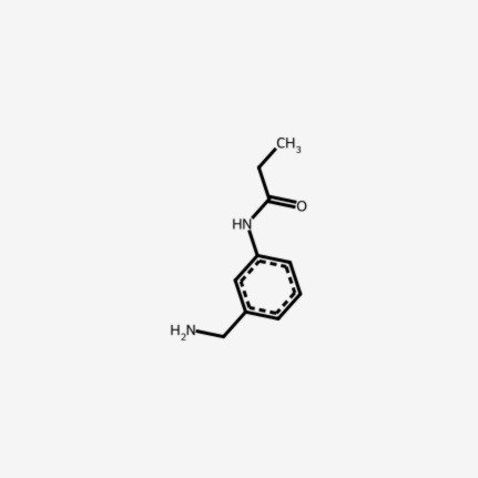 CCC(=O)Nc1cccc(CN)c1